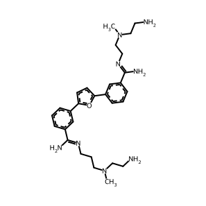 CN(CCN)CCCN=C(N)c1cccc(-c2ccc(-c3cccc(C(N)=NCCN(C)CCN)c3)o2)c1